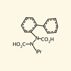 CC(C)N(C(=O)O)N(C(=O)O)c1ccccc1-c1ccccc1